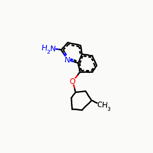 CC1CCCC(Oc2cccc3ccc(N)nc23)C1